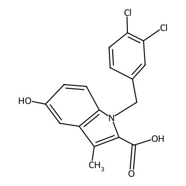 Cc1c(C(=O)O)n(Cc2ccc(Cl)c(Cl)c2)c2ccc(O)cc12